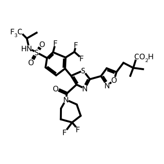 CC(NS(=O)(=O)c1ccc(-c2sc(-c3cc(CC(C)(C)C(=O)O)on3)nc2C(=O)N2CCC(F)(F)CC2)c(C(F)F)c1F)C(F)(F)F